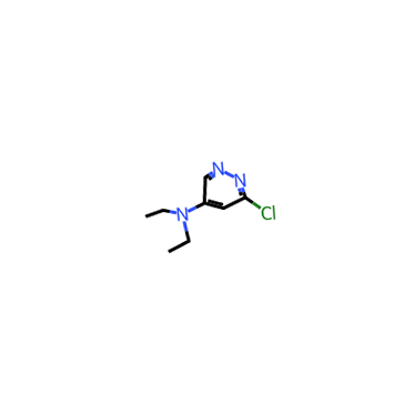 CCN(CC)c1cnnc(Cl)c1